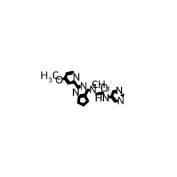 COc1ccnc(-c2nc3c(c(N(C)CC(=O)Nc4cncnc4)n2)CCC3)c1